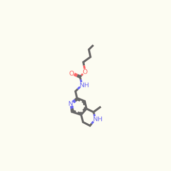 CCCCOC(=O)NCc1cc2c(cn1)CCNC2C